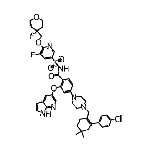 CC1(C)CCC(CN2CCN(c3ccc(C(=O)NS(=O)(=O)c4cnc(OCC5(F)CCOCC5)c(F)c4)c(Oc4cnc5[nH]ccc5c4)c3)CC2)=C(c2ccc(Cl)cc2)C1